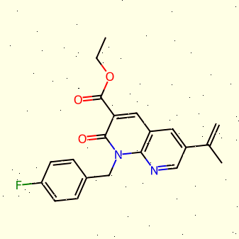 C=C(C)c1cnc2c(c1)cc(C(=O)OCC)c(=O)n2Cc1ccc(F)cc1